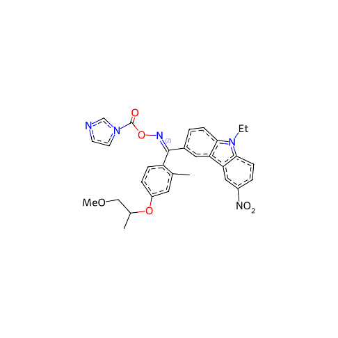 CCn1c2ccc(/C(=N/OC(=O)n3ccnc3)c3ccc(OC(C)COC)cc3C)cc2c2cc([N+](=O)[O-])ccc21